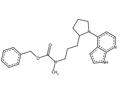 CN(CCCC1CCCN1c1ccnc2[nH]ccc12)C(=O)OCc1ccccc1